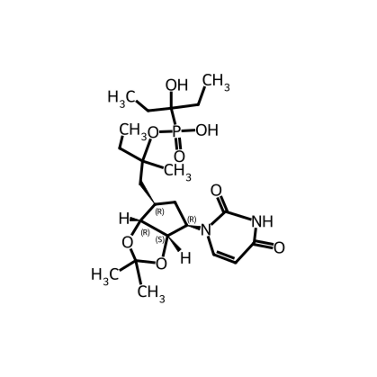 CCC(C)(C[C@H]1C[C@@H](n2ccc(=O)[nH]c2=O)[C@@H]2OC(C)(C)O[C@H]12)OP(=O)(O)C(O)(CC)CC